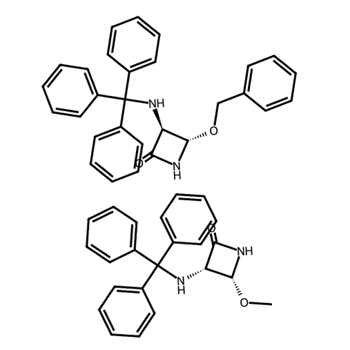 CO[C@H]1NC(=O)[C@H]1NC(c1ccccc1)(c1ccccc1)c1ccccc1.O=C1N[C@@H](OCc2ccccc2)[C@@H]1NC(c1ccccc1)(c1ccccc1)c1ccccc1